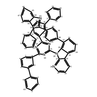 c1ccc(-c2cccc(-c3nc(-c4cccc(-c5ccccc5)c4)nc(-n4c5ncccc5c5cccc(-c6ccc(-c7nc8ccccc8n7-c7ccccc7)cc6)c54)n3)c2)cc1